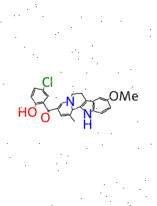 COc1ccc2[nH]c3c(c2c1)CCN1C=C(C(=O)c2cc(Cl)ccc2O)C=C(C)C31